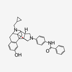 O=C(Nc1ccc(N2C[C@H]3CC45CCC2C3C42CCN(CC3CC3)C5Cc3ccc(O)cc32)cc1)c1ccccc1